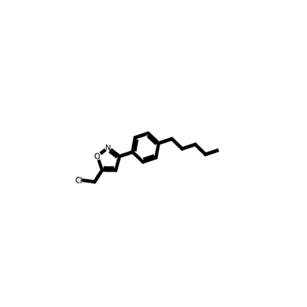 CCCCCc1ccc(-c2cc(CCl)on2)cc1